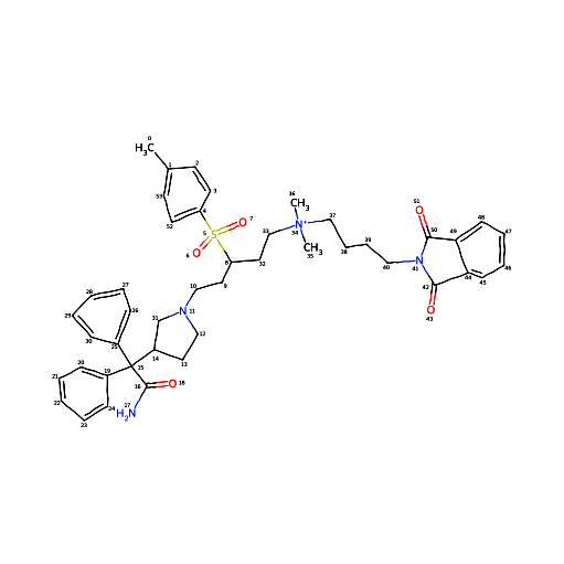 Cc1ccc(S(=O)(=O)C(CCN2CCC(C(C(N)=O)(c3ccccc3)c3ccccc3)C2)CC[N+](C)(C)CCCCN2C(=O)c3ccccc3C2=O)cc1